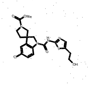 COC(=O)N1CCC2(C1)CN(C(=O)Nc1ncc(CCO)s1)c1ccc(Cl)cc12